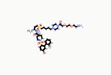 C[C@H](/C=C\S(=O)(=O)CCCCCN1CCN(C(=O)COCCOCCN)CC1)NC(=O)C1(F)CCN(S(=O)(=O)c2ccc(Br)cc2-c2ccccc2Cl)CC1